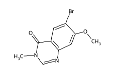 COc1cc2ncn(C)c(=O)c2cc1Br